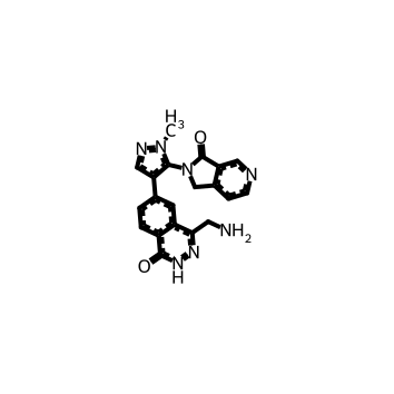 Cn1ncc(-c2ccc3c(=O)[nH]nc(CN)c3c2)c1N1Cc2ccncc2C1=O